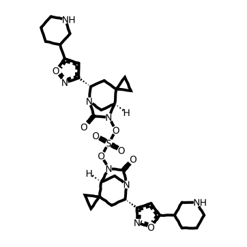 O=C1N2C[C@H](N1OS(=O)(=O)ON1C(=O)N3C[C@H]1C1(CC1)C[C@H]3c1cc(C3CCCNC3)on1)C1(CC1)C[C@H]2c1cc(C2CCCNC2)on1